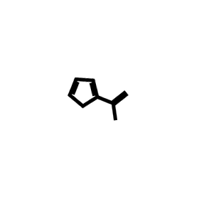 C=C(C)C1=CC=CC1